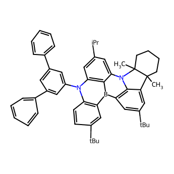 CC(C)c1cc2c3c(c1)N1c4c(cc(C(C)(C)C)cc4C4(C)CCCCC14C)B3c1cc(C(C)(C)C)ccc1N2c1cc(-c2ccccc2)cc(-c2ccccc2)c1